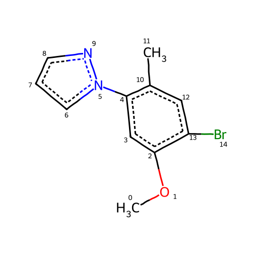 COc1cc(-n2cccn2)c(C)cc1Br